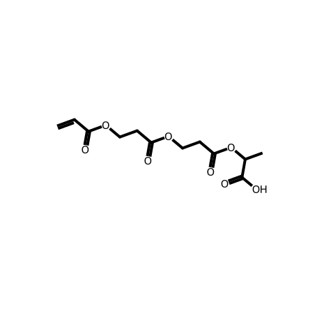 C=CC(=O)OCCC(=O)OCCC(=O)OC(C)C(=O)O